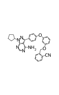 N#Cc1ccccc1COc1cccc(Oc2ccc(-c3nn(C4CCCC4)c4ncnc(N)c34)cc2)c1